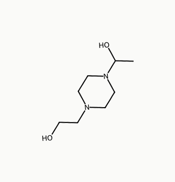 CC(O)N1CCN(CCO)CC1